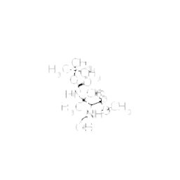 COC(=O)[C@@H](NCO)C(C)(C)NC(=O)OC(C)(C)C